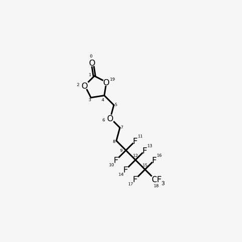 O=C1OCC(COCCC(F)(F)C(F)(F)C(F)(F)C(F)(F)F)O1